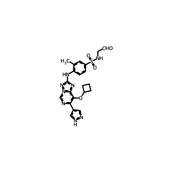 Cc1cc(S(=O)(=O)NCC=O)ccc1Nc1nc2c(OC3CCC3)c(-c3cn[nH]c3)ncn2n1